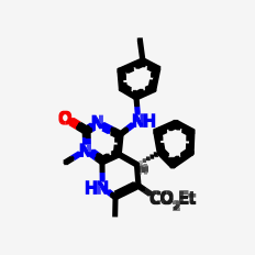 CCOC(=O)C1=C(C)Nc2c(c(Nc3ccc(C)cc3)nc(=O)n2C)[C@@H]1c1ccccc1